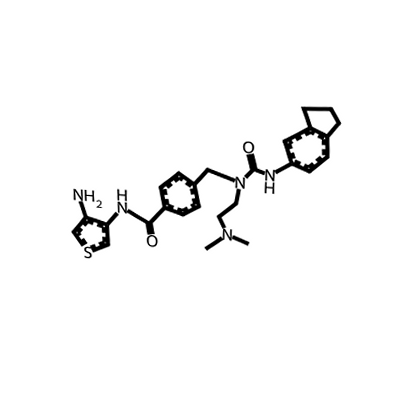 CN(C)CCN(Cc1ccc(C(=O)Nc2cscc2N)cc1)C(=O)Nc1ccc2c(c1)CCC2